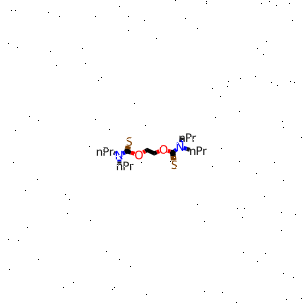 CCCN(CCC)C(=S)OCCOC(=S)N(CCC)CCC